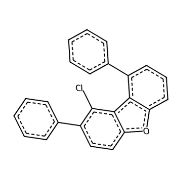 Clc1c(-c2ccccc2)ccc2oc3cccc(-c4ccccc4)c3c12